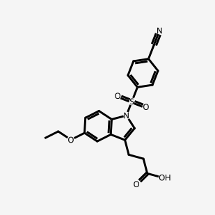 CCOc1ccc2c(c1)c(CCC(=O)O)cn2S(=O)(=O)c1ccc(C#N)cc1